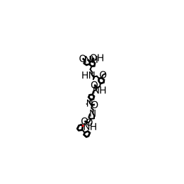 COc1ccc(CC(=O)NCc2ccc(N(C)C(=O)CCN3CCC(OC(=O)Nc4ccccc4-c4ccccc4)CC3)cc2)cc1CC(C)NCCc1ccc(O)c2[nH]c(=O)ccc12